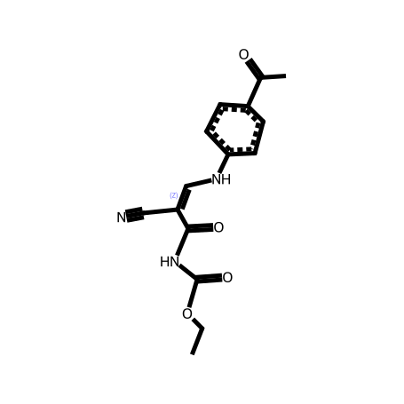 CCOC(=O)NC(=O)/C(C#N)=C\Nc1ccc(C(C)=O)cc1